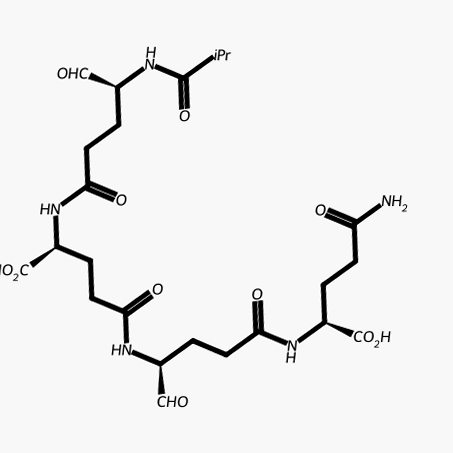 CC(C)C(=O)N[C@H](C=O)CCC(=O)N[C@@H](CCC(=O)N[C@H](C=O)CCC(=O)N[C@@H](CCC(N)=O)C(=O)O)C(=O)O